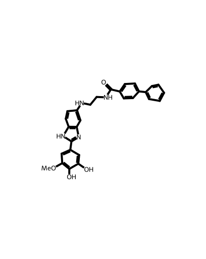 COc1cc(-c2nc3cc(NCCNC(=O)c4ccc(-c5ccccc5)cc4)ccc3[nH]2)cc(O)c1O